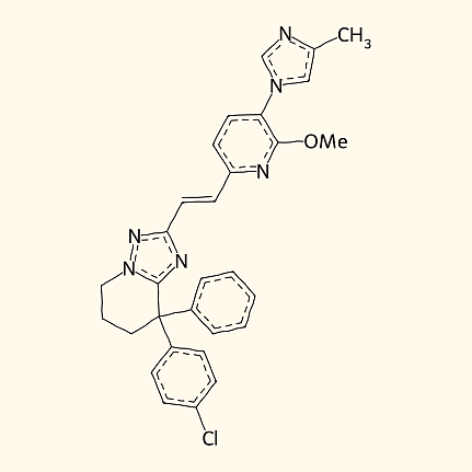 COc1nc(C=Cc2nc3n(n2)CCCC3(c2ccccc2)c2ccc(Cl)cc2)ccc1-n1cnc(C)c1